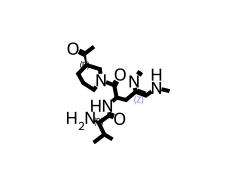 C=N/C(=C\NC)CC(NC(=O)[C@H](N)C(C)C)C(=O)N1CCC[C@@H](C(C)=O)C1